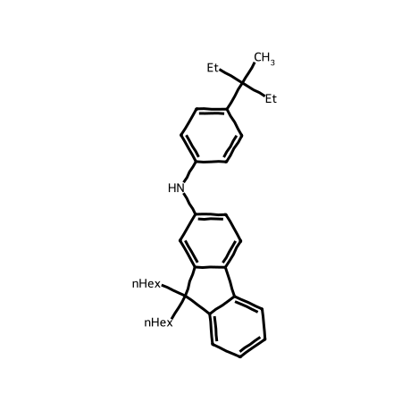 CCCCCCC1(CCCCCC)c2ccccc2-c2ccc(Nc3ccc(C(C)(CC)CC)cc3)cc21